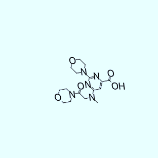 CN(CC(=O)N1CCOCC1)c1cc(C(=O)O)nc(N2CCOCC2)n1